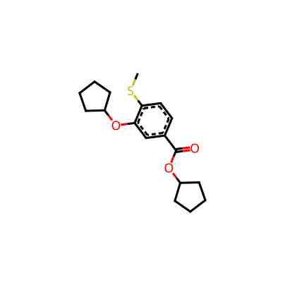 CSc1ccc(C(=O)OC2CCCC2)cc1OC1CCCC1